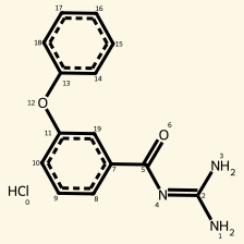 Cl.NC(N)=NC(=O)c1cccc(Oc2ccccc2)c1